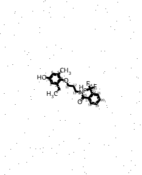 CCc1cc(O)cc(C)c1OCCCNC(=O)c1ccccc1C(F)(F)F